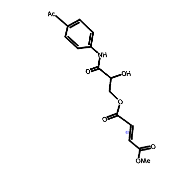 COC(=O)/C=C/C(=O)OCC(O)C(=O)Nc1ccc(C(C)=O)cc1